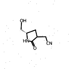 N#CCC1C[C@@H](CO)NC1=O